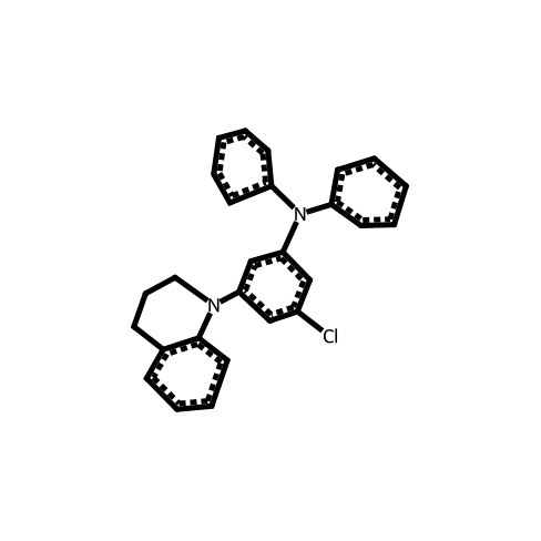 Clc1cc(N2CCCc3ccccc32)cc(N(c2ccccc2)c2ccccc2)c1